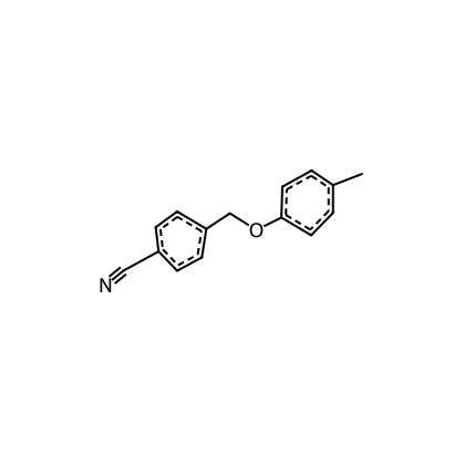 Cc1ccc(OCc2ccc(C#N)cc2)cc1